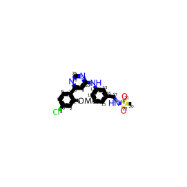 COc1cc(Cl)ccc1-c1cc(Nc2cccc(CNS(C)(=O)=O)c2)ncn1